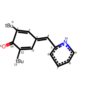 CC(C)(C)C1=CC(=Cc2ccccn2)C=C(C(C)(C)C)C1=O